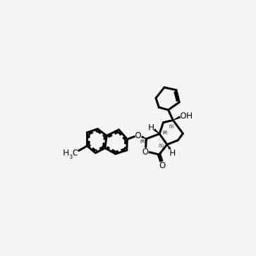 Cc1ccc2cc(O[C@@H]3OC(=O)[C@H]4CC[C@@](O)(C5C=CCCC5)C[C@@H]34)ccc2c1